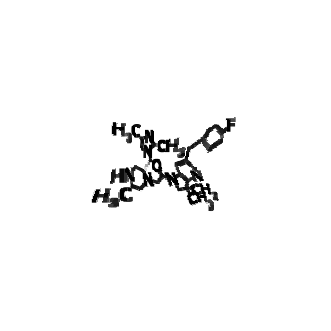 Cc1cn(C[C@H]2CN[C@H](C)CN2CC(=O)N2CC(C)(C)c3ncc(Cc4ccc(F)cc4)cc32)c(C)n1